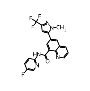 Cn1nc(C(F)(F)F)cc1-c1cc(C(=O)Nc2ccc(F)cn2)c2ncccc2c1